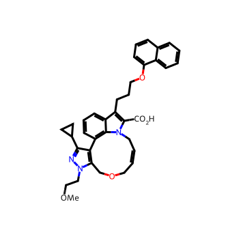 COCCn1nc(C2CC2)c2c1COC/C=C\Cn1c(C(=O)O)c(CCCOc3cccc4ccccc34)c3cccc-2c31